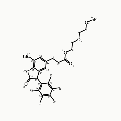 CCCOCCOCCOC(=O)CCc1cc2c(c(C(C)(C)C)c1)OC(=O)C2c1c(C)c(C)c(C)c(C)c1C